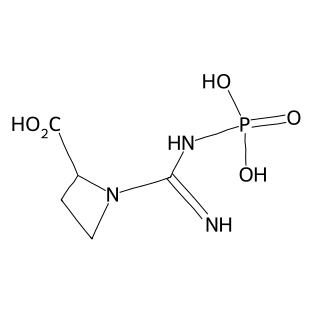 N=C(NP(=O)(O)O)N1CCC1C(=O)O